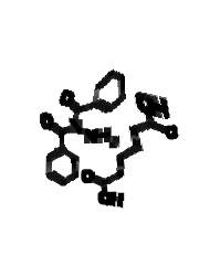 NN(C(=O)c1ccccc1)C(=O)c1ccccc1.O=C(O)CCCCC(=O)O